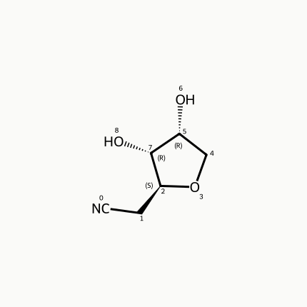 N#CC[C@@H]1OC[C@@H](O)[C@H]1O